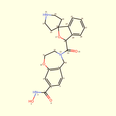 O=C(NO)c1ccc2c(c1)OCCN(C(=O)C1OC3(CCNCC3)c3ccccc31)C2